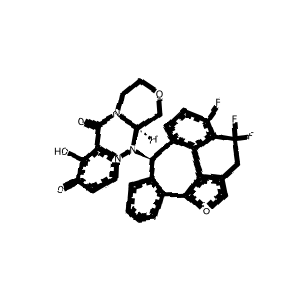 O=C1c2c(O)c(=O)ccn2N([C@@H]2c3ccccc3-c3occ4c3-c3c2ccc(F)c3C(F)(F)C4)[C@@H]2COCCN12